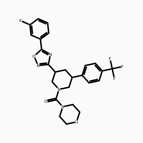 O=C(N1CCOCC1)N1CC(c2ccc(C(F)(F)F)cc2)CC(c2noc(-c3cccc(F)c3)n2)C1